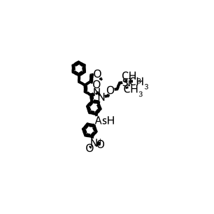 C[Si](C)(C)CCOCn1nc(C=C(Cc2ccccc2)C2=COCO2)c2ccc([AsH]c3cccc([N+](=O)[O-])c3)cc21